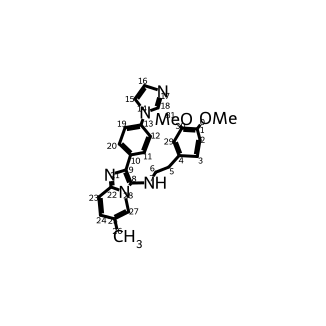 COc1ccc(CCNc2c(-c3ccc(-n4ccnc4)cc3)nc3ccc(C)cn23)cc1OC